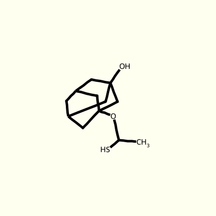 CC(S)OC12CC3CC(CC(O)(C3)C1)C2